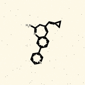 NC1=Nc2cc(-c3cccnc3)ccc2C=C(C=C2CC2)C1